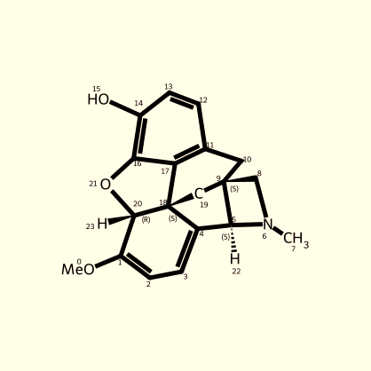 COC1=CC=C2[C@@H]3N(C)C[C@@]34Cc3ccc(O)c5c3[C@@]2(C4)[C@H]1O5